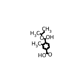 CCC(C)OC(O)c1ccc(C(=O)O)cc1C